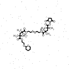 CC(C)(CC(C)(C)C(=O)OCCSSCCOC(=O)C(C)(C)CC(C)(C)C(=O)ON1C(=O)CCC1=O)C(=O)OCCOC1CCCCO1